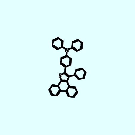 c1ccc(-c2c(-c3ccc(N(c4ccccc4)c4ccccc4)cc3)sc3c4ccccc4c4ccccc4c23)cc1